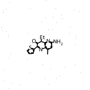 CCC1C(=O)C(c2cccs2)=Nc2c(C)cc(N)nc21